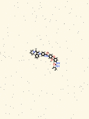 CCC(CC)NC(=O)Nc1ccc(Oc2ccc(NC(=O)c3ccc(-n4cc(C(C)N5CCCCC5)c5ccccc54)cc3)cc2OC)cc1